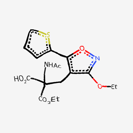 CCOC(=O)C(Cc1c(OCC)noc1-c1cccs1)(NC(C)=O)C(=O)O